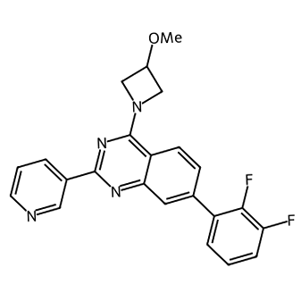 COC1CN(c2nc(-c3cccnc3)nc3cc(-c4cccc(F)c4F)ccc23)C1